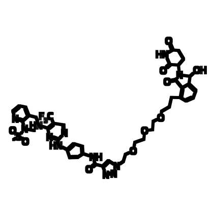 CN(c1ncccc1CNc1nc(Nc2ccc(NC(=O)c3cn(CCOCCOCCOCCCc4cccc5c4C(=O)N(C4CCC(=O)NC4=O)C5O)nn3)cc2)ncc1C(F)(F)F)S(C)(=O)=O